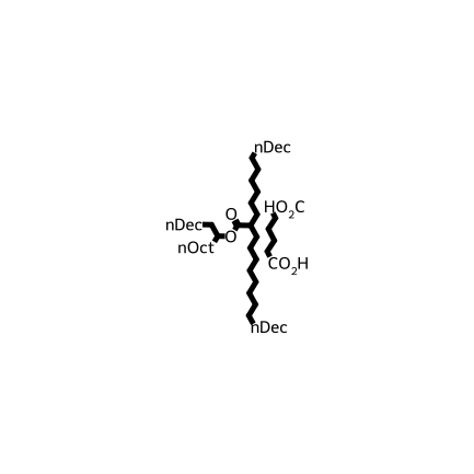 CCCCCCCCCCCCCCCCCCC(CCCCCCCCCCCCCCCC)C(=O)OC(CCCCCCCC)CCCCCCCCCCC.O=C(O)CCCCC(=O)O